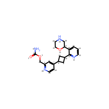 NC(=O)OCc1cc(C2CC(c3ncccc3C3CNCCO3)C2)ccn1